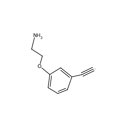 [C]#Cc1cccc(OCCN)c1